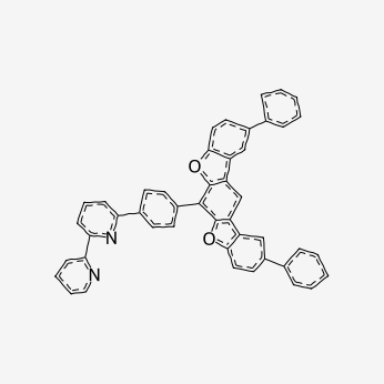 c1ccc(-c2ccc3oc4c(-c5ccc(-c6cccc(-c7ccccn7)n6)cc5)c5oc6ccc(-c7ccccc7)cc6c5cc4c3c2)cc1